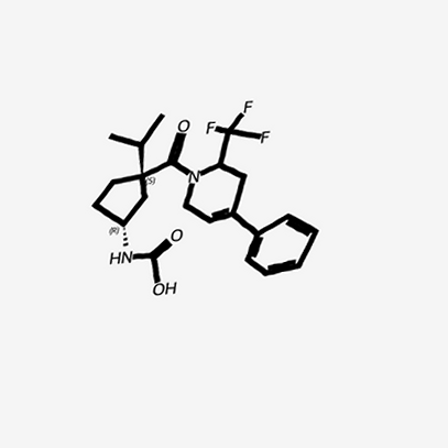 CC(C)[C@]1(C(=O)N2CC=C(c3ccccc3)CC2C(F)(F)F)CC[C@@H](NC(=O)O)C1